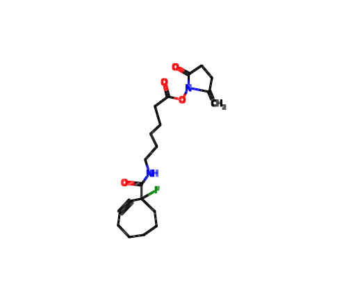 C=C1CCC(=O)N1OC(=O)CCCCCNC(=O)C1(F)C#CCCCCC1